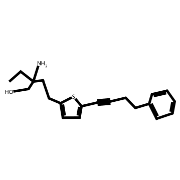 CCC(N)(CO)CCc1ccc(C#CCCc2ccccc2)s1